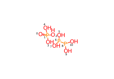 O=P(O)(O)O.OP(O)P(O)O